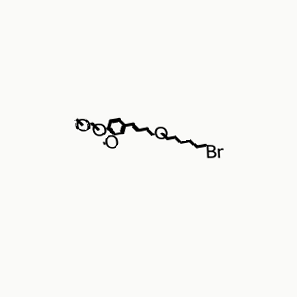 COCOc1ccc(/C=C/CCOCCCCCCBr)cc1OC